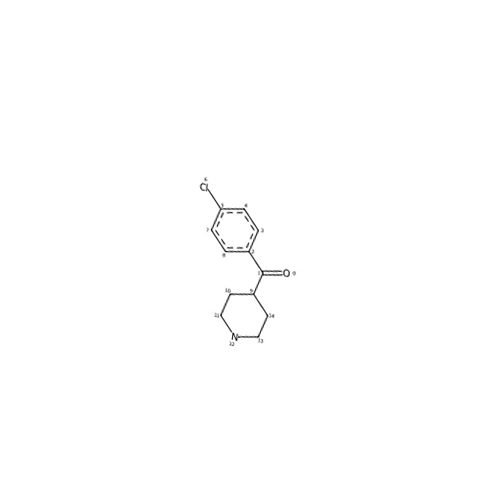 O=C(c1ccc(Cl)cc1)C1CC[N]CC1